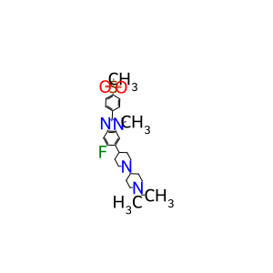 CC(C)N1CCC(N2CCC(c3cc4c(cc3F)nc(-c3ccc(S(C)(=O)=O)cc3)n4C)CC2)CC1